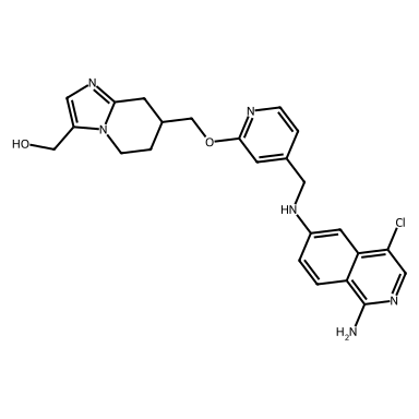 Nc1ncc(Cl)c2cc(NCc3ccnc(OCC4CCn5c(CO)cnc5C4)c3)ccc12